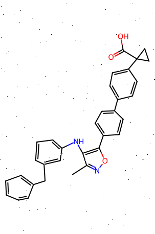 Cc1noc(-c2ccc(-c3ccc(C4(C(=O)O)CC4)cc3)cc2)c1Nc1cccc(Cc2ccccc2)c1